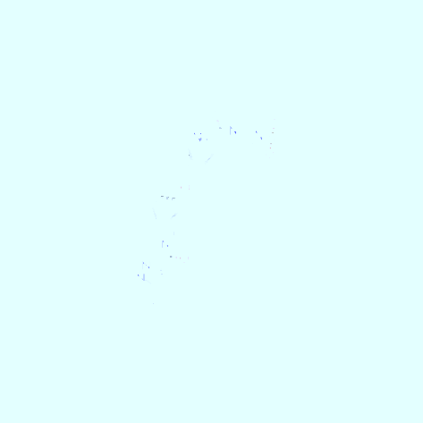 Cc1c(CNC(=O)c2cc(C3CC3)nn2C)cccc1OCc1ccc(C(=O)N2CCN(S(C)(=O)=O)CC2)nc1